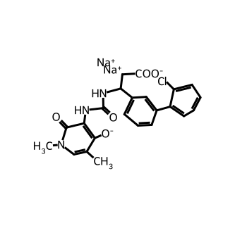 Cc1cn(C)c(=O)c(NC(=O)NC(CC(=O)[O-])c2cccc(-c3ccccc3Cl)c2)c1[O-].[Na+].[Na+]